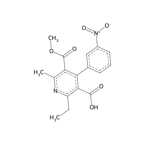 CCc1nc(C)c(C(=O)OC)c(-c2cccc([N+](=O)[O-])c2)c1C(=O)O